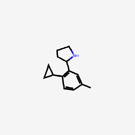 Cc1ccc(C2CC2)c(C2CCCN2)c1